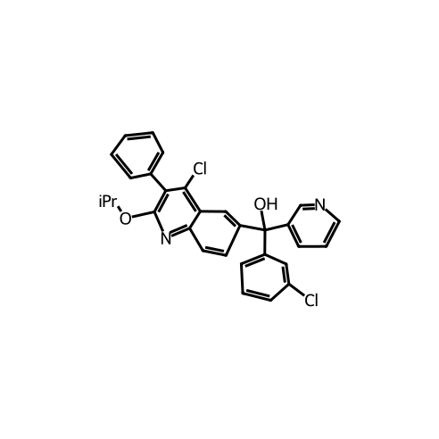 CC(C)Oc1nc2ccc(C(O)(c3cccnc3)c3cccc(Cl)c3)cc2c(Cl)c1-c1ccccc1